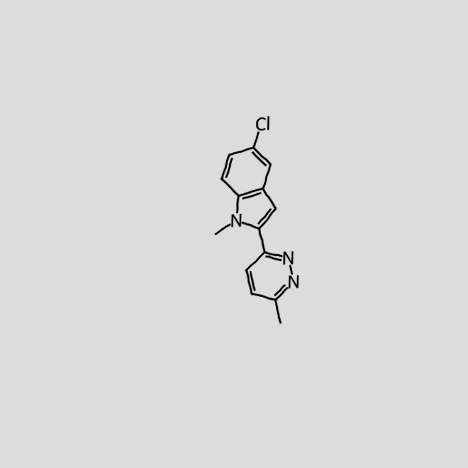 Cc1ccc(-c2cc3cc(Cl)ccc3n2C)nn1